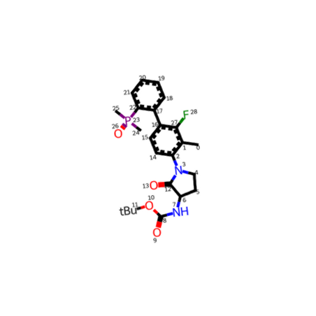 Cc1c(N2CCC(NC(=O)OC(C)(C)C)C2=O)ccc(-c2ccccc2P(C)(C)=O)c1F